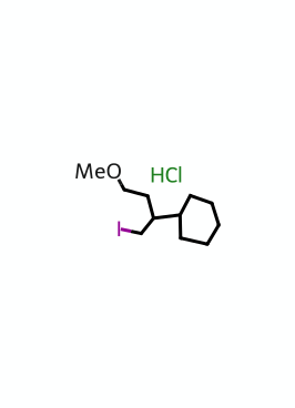 COCCC(CI)C1CCCCC1.Cl